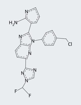 Nc1ncccc1-c1nc2ccc(-c3ncn(C(F)F)n3)nc2n1-c1ccc(CCl)cc1